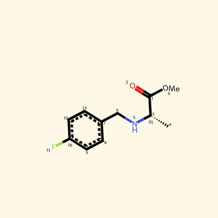 COC(=O)[C@H](C)NCc1ccc(F)cc1